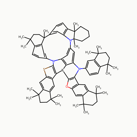 CC1(C)CCC(C)(C)c2cc(N3c4cc5cc6c4B(c4oc7cc8c(cc7c43)C(C)(C)CCC8(C)C)c3c(sc4cc7c(cc34)C(C)(C)CCC7(C)C)N6c3ccc4c(c3)C(C)(CCC4(C)C)c3ccc4c(c3)N5C3(C)CCCCC43C)ccc21